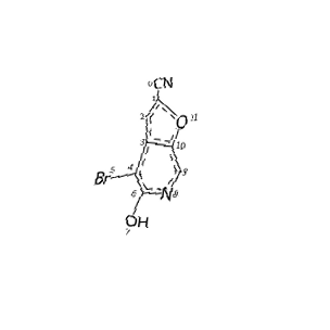 N#Cc1cc2c(Br)c(O)ncc2o1